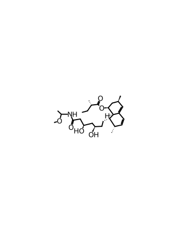 CC[C@H](C)C(=O)O[C@H]1C[C@@H](C)C=C2C=C[C@H](C)[C@H](CC[C@@H](O)C[C@@H](O)CC(=O)NC(C)OC)[C@H]21